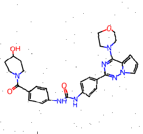 O=C(Nc1ccc(C(=O)N2CCC(O)CC2)cc1)Nc1ccc(-c2nc(N3CCOCC3)c3cccn3n2)cc1